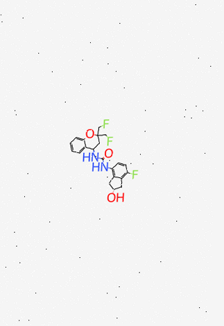 O=C(Nc1ccc(F)c2c1C[C@@H](O)C2)N[C@@H]1CC(CF)(CF)Oc2ccccc21